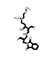 COCCN(C)CCC(=N)/C(C=O)=C\NC/C(=C/F)CN1C(=O)c2ccccc2C1=O